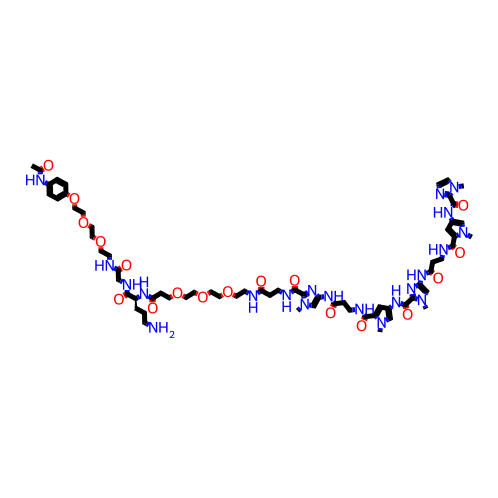 CC(=O)Nc1ccc(OCCOCCOCCNC(=O)CNC(=O)[C@H](CCCN)NC(=O)CCOCCOCCOCCNC(=O)CCNC(=O)c2nc(NC(=O)CCNC(=O)c3cc(NC(=O)c4nc(NC(=O)CCNC(=O)c5cc(NC(=O)c6nccn6C)cn5C)cn4C)cn3C)cn2C)cc1